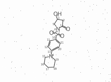 O=C1CC(O)CN1S(=O)(=O)c1ccc(N2CCCCC2)cc1